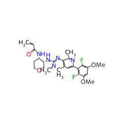 C=CC(=O)N[C@H]1CCOC[C@H]1N/C(N=C)=N/c1c(C)cc(-c2c(F)c(OC)cc(OC)c2F)nc1C